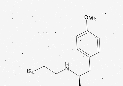 COc1ccc(C[C@@H](N)NCCC(C)(C)C)cc1